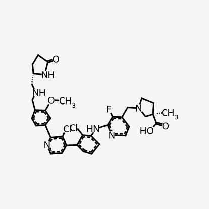 COc1cc(-c2nccc(-c3cccc(Nc4nccc(CN5CC[C@@](C)(C(=O)O)C5)c4F)c3Cl)c2Cl)ccc1CNC[C@@H]1CCC(=O)N1